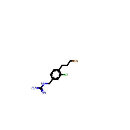 N=C(N)NCc1ccc(CCCS)c(Cl)c1